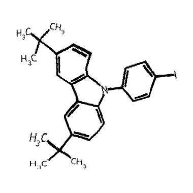 CC(C)(C)c1ccc2c(c1)c1cc(C(C)(C)C)ccc1n2-c1ccc(I)cc1